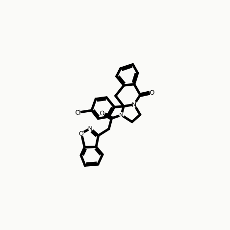 O=C(Cc1noc2ccccc12)N1CCN2C(=O)c3ccccc3CC12c1ccc(Cl)cc1